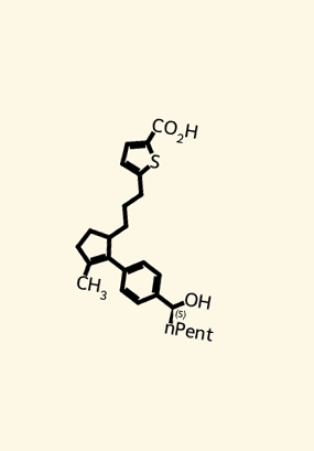 CCCCC[C@H](O)c1ccc(C2=C(C)CCC2CCCc2ccc(C(=O)O)s2)cc1